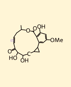 COc1cc(O)c2c(c1)C1CC1CC(O)C(O)C(=O)/C=C\CC(C)OC2=O